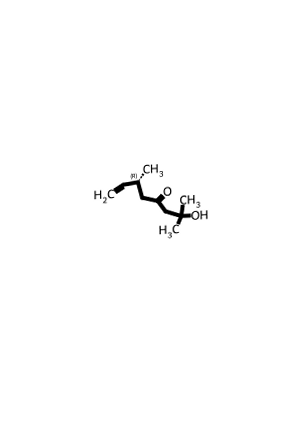 C=C[C@H](C)CC(=O)CC(C)(C)O